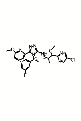 COc1cccc(-c2nnc(NSC(C)C(OC)c3ncc(Cl)cn3)n2[C@@H](C)c2cncc(F)c2)n1